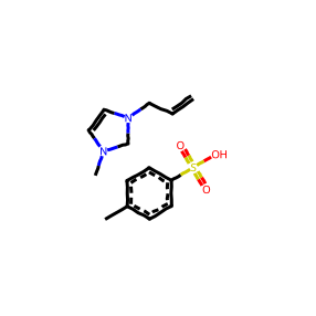 C=CCN1C=CN(C)C1.Cc1ccc(S(=O)(=O)O)cc1